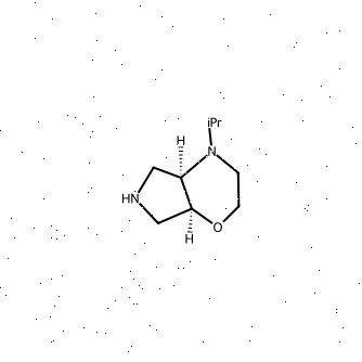 CC(C)N1CCO[C@H]2CNC[C@H]21